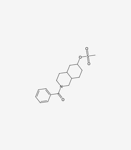 CS(=O)(=O)OC1CCC2CN(C(=O)c3ccccc3)CCC2C1